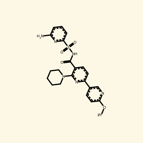 CC(C)Oc1ccc(-c2ccc(C(=O)NS(=O)(=O)c3cccc(N)n3)c(N3CCCCC3)n2)cn1